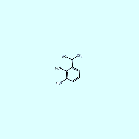 CC(O)c1cccc([N+](=O)[O-])c1N